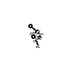 CN(C)C/C=C/C(=O)Nc1ccc(F)c(Nc2nc(Nc3cnn(C)c3)ncc2C#Cc2ccccc2)c1